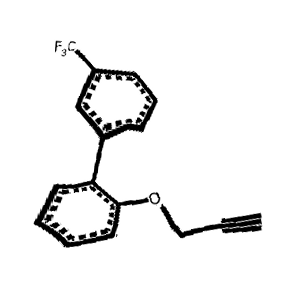 C#CCOc1[c]cccc1-c1cccc(C(F)(F)F)c1